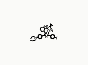 N#CC1(NC(=O)C2CCCCC2c2oc(-c3ccc(F)cc3)nc2-c2ccc(N3CCOCC3)cc2)CC1